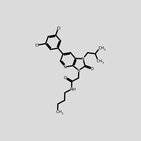 CCCCNC(=O)Cn1c(=O)n(CC(C)C)c2cc(-c3cc(Cl)cc(Cl)c3)cnc21